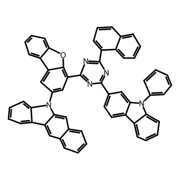 c1ccc(-n2c3ccccc3c3ccc(-c4nc(-c5cccc6ccccc56)nc(-c5cc(-n6c7ccccc7c7cc8ccccc8cc76)cc6c5oc5ccccc56)n4)cc32)cc1